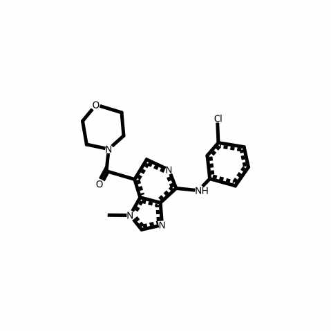 Cn1cnc2c(Nc3cccc(Cl)c3)ncc(C(=O)N3CCOCC3)c21